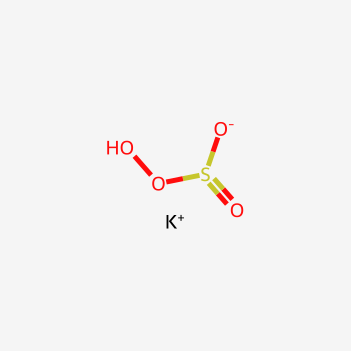 O=S([O-])OO.[K+]